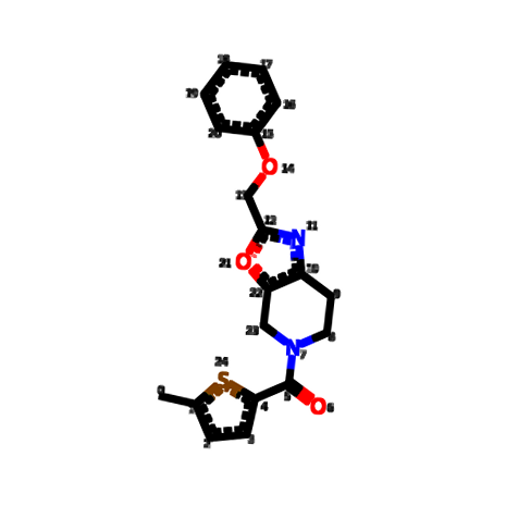 Cc1ccc(C(=O)N2CCc3nc(COc4ccccc4)oc3C2)s1